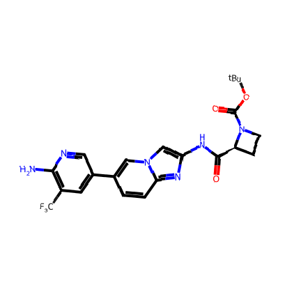 CC(C)(C)OC(=O)N1CC[C@H]1C(=O)Nc1cn2cc(-c3cnc(N)c(C(F)(F)F)c3)ccc2n1